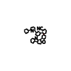 N#Cc1ccccc1-c1cc(-c2cccc(-c3ccccc3)n2)cc(-n2c3ccccc3c3ccc4oc5ccccc5c4c32)c1